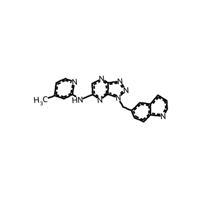 Cc1ccnc(Nc2cnc3nnn(Cc4ccc5ncccc5c4)c3n2)c1